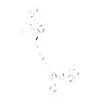 Cc1ccc(-c2nn(C3CCC(/C=C/N4CCN(CC#Cc5cccc6c5n(C)c(=O)n6C5CCC(=O)NC5=O)CC4)CC3)cc2NC(=O)c2cnn3cccnc23)cc1